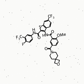 COc1ccc(C(=O)N2CCC3(CC2)COC3)cc1C(=O)Nc1c(C(=O)Nc2ccc(F)c(C(F)(F)F)c2)sc2cc(C(F)(F)F)ccc12